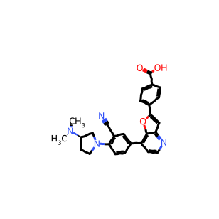 CN(C)[C@@H]1CCN(c2ccc(-c3ccnc4cc(-c5ccc(C(=O)O)cc5)oc34)cc2C#N)C1